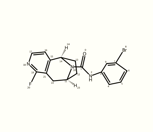 O=C(Nc1cccc(Br)c1)N1[C@H]2CC[C@@H]1c1ccnc(F)c1C2